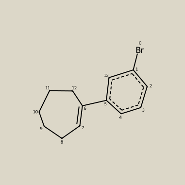 Brc1cccc(C2=CCCCCC2)c1